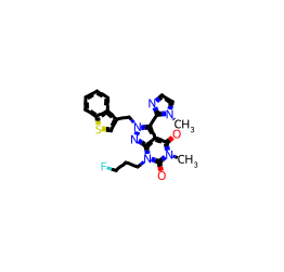 Cn1ccnc1-c1c2c(=O)n(C)c(=O)n(CCCF)c2nn1Cc1csc2ccccc12